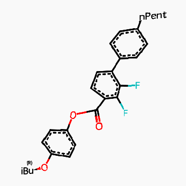 CCCCCc1ccc(-c2ccc(C(=O)Oc3ccc(O[C@H](C)CC)cc3)c(F)c2F)cc1